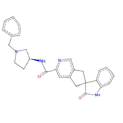 O=C(N[C@H]1CCN(Cc2ccccc2)C1)c1cc2c(cn1)CC1(C2)C(=O)Nc2ccccc21